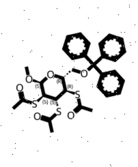 CO[C@H]1O[C@H](COC(c2ccccc2)(c2ccccc2)c2ccccc2)[C@@H](SC(C)=O)[C@H](SC(C)=O)[C@H]1SC(C)=O